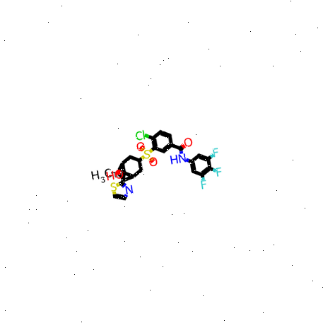 C[C@H]1CC2CC(S(=O)(=O)c3cc(C(=O)Nc4cc(F)c(F)c(F)c4)ccc3Cl)CC1[C@@]2(O)c1nccs1